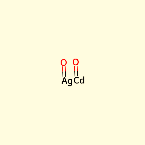 [O]=[Ag].[O]=[Cd]